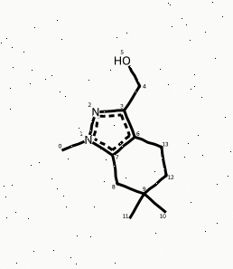 Cn1nc(CO)c2c1CC(C)(C)CC2